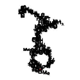 C=C1C[C@@H]2CC[C@]34C[C@@H](OC)[C@H](O3)[C@H]3C[C@@H](O4)[C@H]4OC(CC[C@@H]4O3)CC(=O)C[C@H]3C(C[C@H]4O[C@@H](CC[C@@H]1O2)C[C@@H](C)C4=C)O[C@H](C[C@H](O)CNC(=O)OCc1ccc(NC(=O)C(CCCNC(N)=O)NC(=O)[C@@H](NC(=O)CCOCCOCCC(=O)ON2C(=O)CCC2=O)C(C)C)cc1)[C@@H]3OC